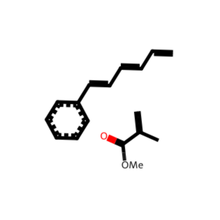 C=C(C)C(=O)OC.C=CC=CC=Cc1ccccc1